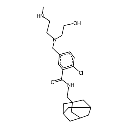 CNCCN(CCO)Cc1ccc(Cl)c(C(=O)NCC23CC4CC(CC(C4)C2)C3)c1